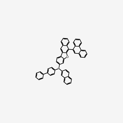 c1ccc(-c2ccc(N(c3ccc4ccccc4c3)c3ccc4c(c3)oc3c(-c5cc6ccccc6c6ccccc56)c5ccccc5cc34)cc2)cc1